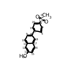 CS(=O)(=O)c1ccc(-c2ccc3cc(O)ccc3c2)cc1